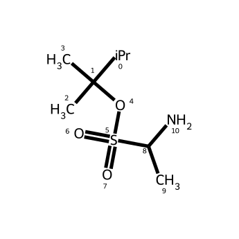 CC(C)C(C)(C)OS(=O)(=O)C(C)N